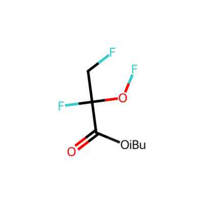 CC(C)COC(=O)C(F)(CF)OF